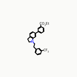 CCOC(=O)c1cccc(-c2ccc3c(c2)N(CCc2cccc(C(F)(F)F)c2)CC3)c1